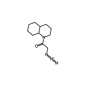 [N-]=[N+]=NCC(=O)N1CCCC2CCCCC21